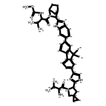 COC(=O)NC(C(=O)N1C2CCC(C2)C1c1nc2ccc(-c3ccc4c(c3)C(F)(F)c3cc(-c5c[nH]c(C6CC7(CC7)CN6C(=O)C(N)C(C)C)n5)ccc3-4)cc2[nH]1)C(C)C